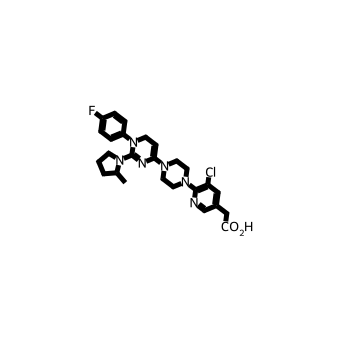 CC1CCCN1C1=NC(N2CCN(c3ncc(CC(=O)O)cc3Cl)CC2)=CCN1c1ccc(F)cc1